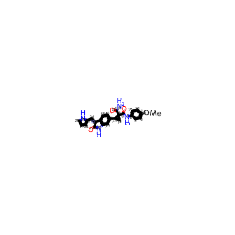 COc1ccc(NC(=O)C2(C(N)=O)CC2c2ccc3c(c2)NC(=O)/C3=C\c2ccc[nH]2)cc1